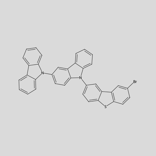 Brc1ccc2sc3ccc(-n4c5ccccc5c5cc(-n6c7ccccc7c7ccccc76)ccc54)cc3c2c1